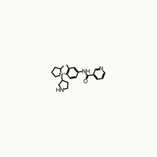 Cc1cc(NC(=O)c2cccnc2)ccc1[N+]1(C2CCNC2)CCCC1C